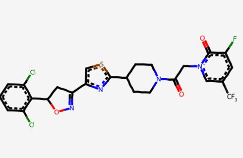 O=C(Cn1cc(C(F)(F)F)cc(F)c1=O)N1CCC(c2nc(C3=NOC(c4c(Cl)cccc4Cl)C3)cs2)CC1